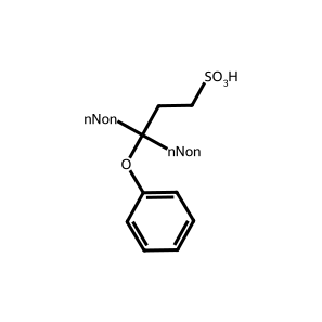 CCCCCCCCCC(CCCCCCCCC)(CCS(=O)(=O)O)Oc1ccccc1